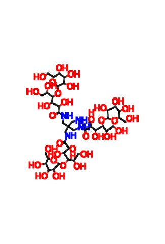 NCC(CNC(=O)C(O)C(O)C(OC1OC(CO)C(O)C(O)C1O)C(O)CO)(CNC(=O)C(O)C(O)C(OC1OC(CO)C(O)C(O)C1O)C(O)CO)CNC(=O)C(O)C(O)C(OC1OC(CO)C(O)C(O)C1O)C(O)CO